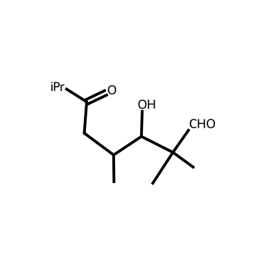 CC(C)C(=O)CC(C)C(O)C(C)(C)C=O